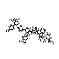 C[C@H]1CN(C[C@H]2COc3cc(S(=O)(=O)NC(=O)c4ccc(N5CCN(CC6=C(c7ccc(Cl)cc7)CC(C)(C)CC6)CC5)cc4Oc4cnc5[nH]ccc5c4)cc([N+](=O)[O-])c3N2)CCN1C